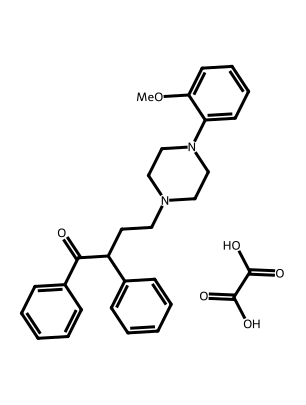 COc1ccccc1N1CCN(CCC(C(=O)c2ccccc2)c2ccccc2)CC1.O=C(O)C(=O)O